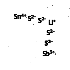 [Li+].[S-2].[S-2].[S-2].[S-2].[Sb+3].[Sn+4]